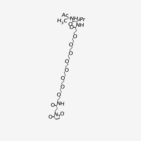 CC(=O)C(C)NC(=O)C(NC(=O)CCOCCOCCOCCOCCOCCOCCOCCOCCNC(=O)CCN1C(=O)C=CC1=O)C(C)C